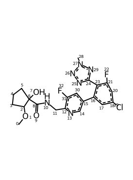 COC1CCCC1(O)C(=O)NCc1ncc(-c2cc(Cl)cc(F)c2-c2nnn(C)n2)cc1F